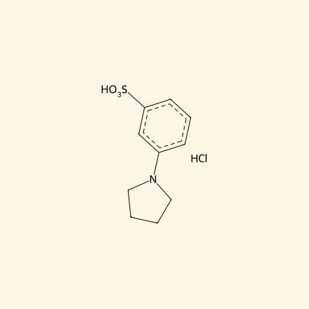 Cl.O=S(=O)(O)c1cccc(N2CCCC2)c1